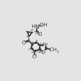 Cc1nc2cc(C(=O)[C@H]3C[C@@H]3C(=O)NO)cc(Cl)c2o1